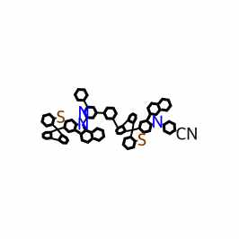 N#Cc1ccc(-n2c3cc4c(cc3c3ccc5ccccc5c32)C2(c3ccccc3S4)c3ccccc3-c3c(-c4cccc(-c5cc(-c6ccccc6)nc(-n6c7cc8c(cc7c7ccc9ccccc9c76)C6(c7ccccc7S8)c7ccccc7-c7ccccc76)c5)c4)cccc32)cc1